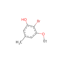 CCOc1cc(C)cc(O)c1Br